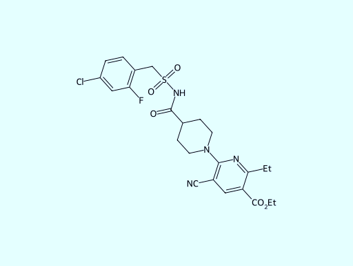 CCOC(=O)c1cc(C#N)c(N2CCC(C(=O)NS(=O)(=O)Cc3ccc(Cl)cc3F)CC2)nc1CC